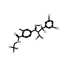 Cc1cc(C2=NOC(Cl)(c3cc(Cl)cc(Cl)c3)C2C(F)F)ccc1C(=O)NCC(F)(F)F